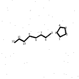 C1CCCC1.CCCCCCCC